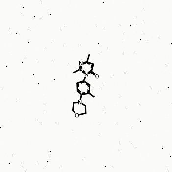 Cc1cc(=O)n(-c2ccc(N3CCOCC3)c(C)c2)c(C)n1